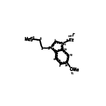 CCn1c[n+](CCSC)c2ccc(OC)cc21.[I-]